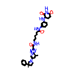 Cc1cc(N2CC[C@](C)(c3ccccc3)C2)cn2nc(C(=O)NCCCCCC(=O)Nc3cccc(NC4CCC(=O)NC4=O)c3)nc12